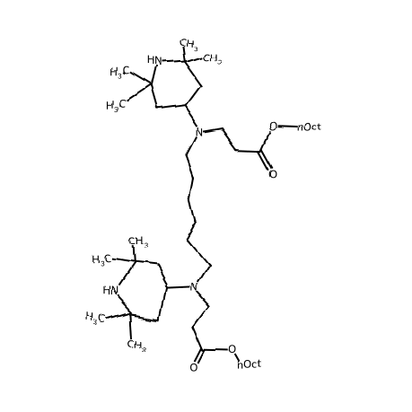 CCCCCCCCOC(=O)CCN(CCCCCCN(CCC(=O)OCCCCCCCC)C1CC(C)(C)NC(C)(C)C1)C1CC(C)(C)NC(C)(C)C1